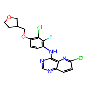 Fc1c(Nc2ncnc3ccc(Cl)nc23)ccc(OCC2CCOC2)c1Cl